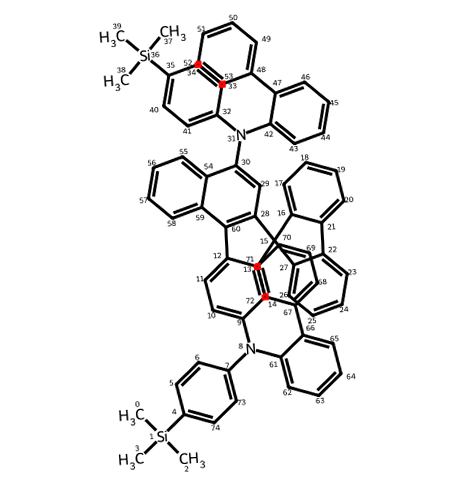 C[Si](C)(C)c1ccc(N(c2ccc3c(c2)C2(c4ccccc4-c4ccccc42)c2cc(N(c4ccc([Si](C)(C)C)cc4)c4ccccc4-c4ccccc4)c4ccccc4c2-3)c2ccccc2-c2ccccc2)cc1